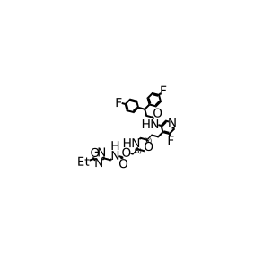 CCc1nc(CNC(=O)OC[C@@H]2CO[C@H](CCc3c(F)cncc3NC(=O)CC(c3ccc(F)cc3)c3ccc(F)cc3)CN2)no1